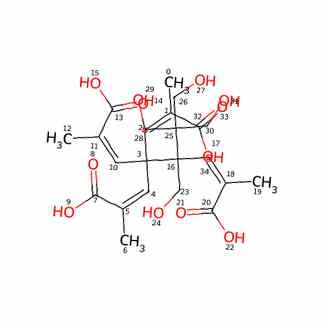 CC(=CC(C=C(C)C(=O)O)(C=C(C)C(=O)O)C(C=C(C)C(=O)O)(CO)C(CO)(CO)CO)C(=O)O